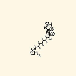 CCCCCCCCCCCC(=O)OC(=O)CS